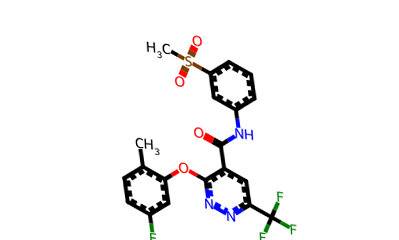 Cc1ccc(F)cc1Oc1nnc(C(F)(F)F)cc1C(=O)Nc1cccc(S(C)(=O)=O)c1